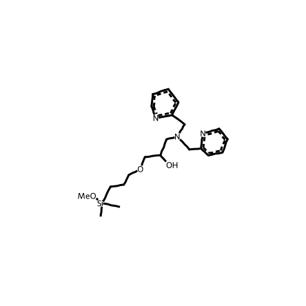 CO[Si](C)(C)CCCOCC(O)CN(Cc1ccccn1)Cc1ccccn1